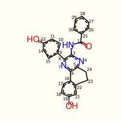 O=C(Nc1nc2c(nc1-c1ccc(O)cc1)-c1ccc(O)cc1CC2)c1ccccc1